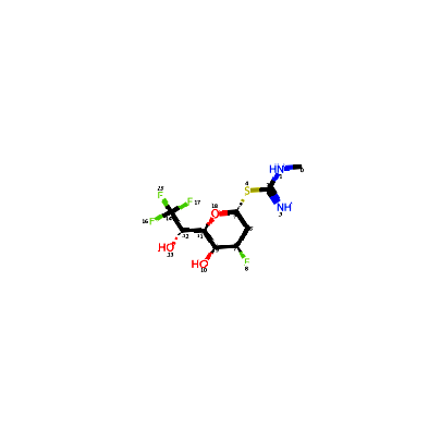 CNC(=N)S[C@@H]1C[C@@H](F)[C@@H](O)[C@@H]([C@H](O)C(F)(F)F)O1